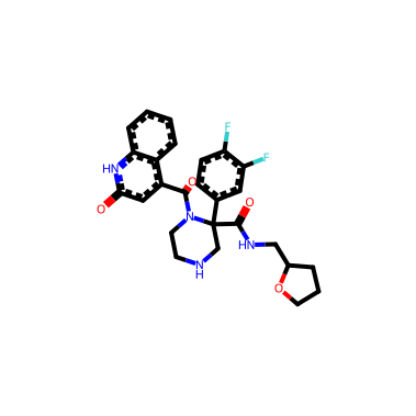 O=C(c1cc(=O)[nH]c2ccccc12)N1CCNCC1(C(=O)NCC1CCCO1)c1ccc(F)c(F)c1